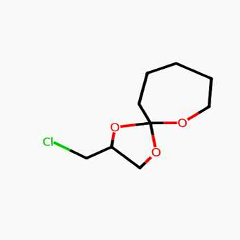 ClCC1COC2(CCCCCO2)O1